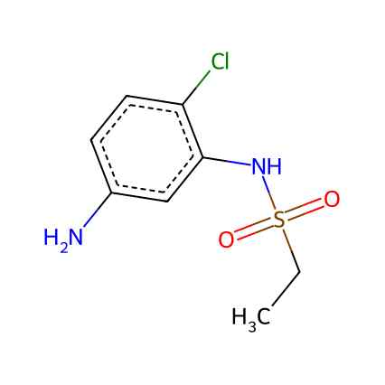 CCS(=O)(=O)Nc1cc(N)ccc1Cl